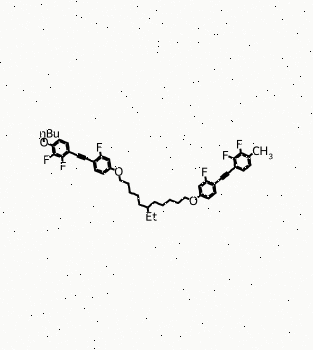 CCCCOc1ccc(C#Cc2ccc(OCCCCCC(CC)CCCCCOc3ccc(C#Cc4ccc(C)c(F)c4F)c(F)c3)cc2F)c(F)c1F